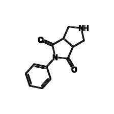 O=C1C2CNCC2C(=O)N1c1ccccc1